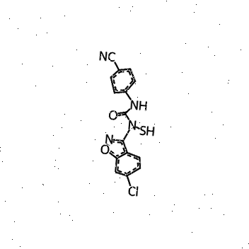 N#Cc1ccc(NC(=O)N(S)c2noc3cc(Cl)ccc23)cc1